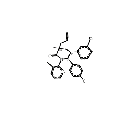 C=CC[C@@]1(C)C[C@H](c2cccc(Cl)c2)[C@@H](c2ccc(Cl)cc2)N(c2ncccc2C)C1=O